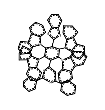 c1ccc(-c2cc(-c3c(-n4c5ccccc5c5ccccc54)c(-n4c5ccccc5c5ccccc54)c(-c4nc5ccccc5o4)c(-n4c5ccccc5c5ccccc54)c3-n3c4ccccc4c4ccccc43)nc(-c3ccccc3)n2)cc1